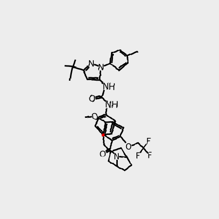 COc1ccc(OCC(F)(F)F)c(C(=O)N2C3CCC2CC(Cc2ccc(NC(=O)Nc4cc(C(C)(C)C)nn4-c4ccc(C)cc4)cc2)C3)c1